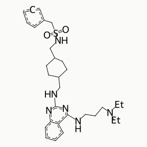 CCN(CC)CCCNc1nc(NCC2CCC(CNS(=O)(=O)Cc3ccccc3)CC2)nc2ccccc12